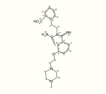 CN1CCN(CCOc2cccc(C(=N)N(CCc3ccccc3C(=O)O)C(N)=S)c2)CC1